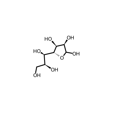 OC[C@H](O)[C@@H](O)[C@H]1OC(O)[C@H](O)[C@@H]1O